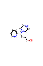 OCCCC(c1ccccn1)N1CCNCC1